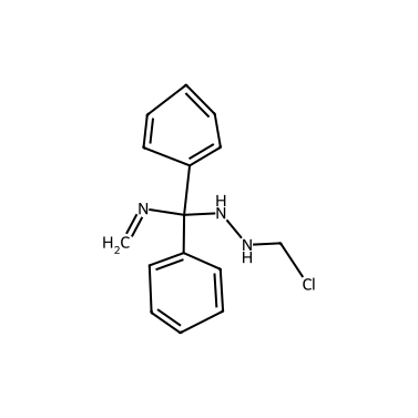 C=NC(NNCCl)(c1ccccc1)c1ccccc1